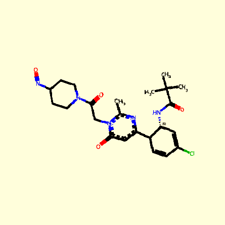 Cc1nc(C2C=CC(Cl)=C[C@H]2NC(=O)C(C)(C)C)cc(=O)n1CC(=O)N1CCC(N=O)CC1